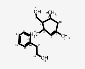 CC1=CC(C)C(CO)C(C)C1.OCCc1ccccc1